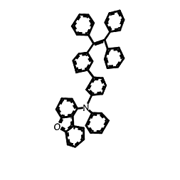 c1ccc(C(=C(c2ccccc2)c2cccc(-c3cccc(N(c4ccccc4)c4cccc5oc6ccccc6c45)c3)c2)c2ccccc2)cc1